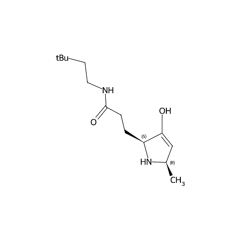 C[C@@H]1C=C(O)[C@H](CCC(=O)NCCC(C)(C)C)N1